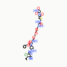 Cn1ncc(-c2nc(NC3CCC(N(CC(=O)NCCOCCOCCOCCNCC(=O)NCc4cc5c(s4)C(=O)N(C4CCC(=O)NC4=O)C5)C(=O)OCc4ccccc4)CC3)ncc2Cl)c1CC1CC1